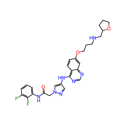 O=C(Cn1cc(Nc2ncnc3cc(OCCCNCC4CCCO4)ccc23)cn1)Nc1cccc(F)c1F